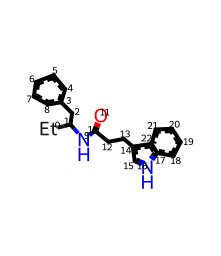 CCC(Cc1ccccc1)NC(=O)CCc1c[nH]c2ccccc12